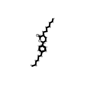 CCCCCCCC1CCC(c2ccc(CCCCCC)cc2)OC1=O